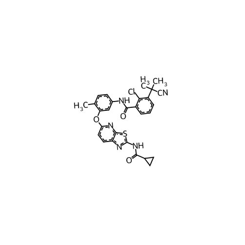 Cc1ccc(NC(=O)c2cccc(C(C)(C)C#N)c2Cl)cc1Oc1ccc2nc(NC(=O)C3CC3)sc2n1